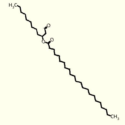 CCCCCCCCCCCCCCCCCCCCCCC(=O)OC(C[C]=O)CCCCCCCCC